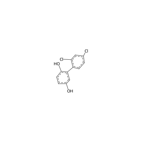 Oc1ccc(O)c(-c2ccc(Cl)cc2Cl)c1